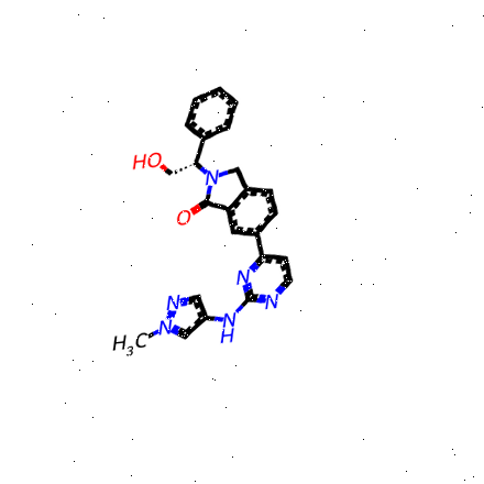 Cn1cc(Nc2nccc(-c3ccc4c(c3)C(=O)N([C@H](CO)c3ccccc3)C4)n2)cn1